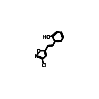 Oc1ccccc1/C=C/c1cc(Cl)no1